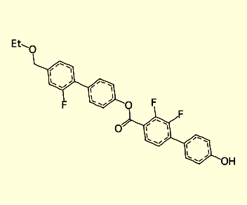 CCOCc1ccc(-c2ccc(OC(=O)c3ccc(-c4ccc(O)cc4)c(F)c3F)cc2)c(F)c1